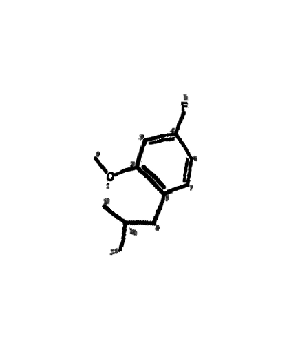 COc1cc(F)ccc1CC(C)C